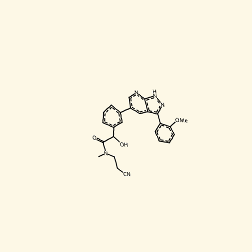 COc1ccccc1-c1n[nH]c2ncc(-c3cccc(C(O)C(=O)N(C)CCC#N)c3)cc12